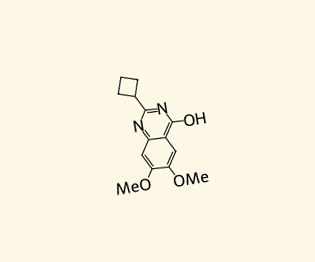 COc1cc2nc(C3CCC3)nc(O)c2cc1OC